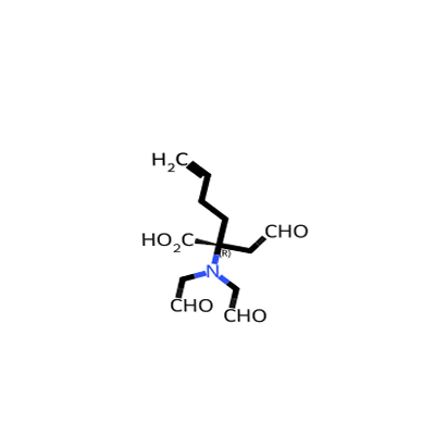 C=CCC[C@@](CC=O)(C(=O)O)N(CC=O)CC=O